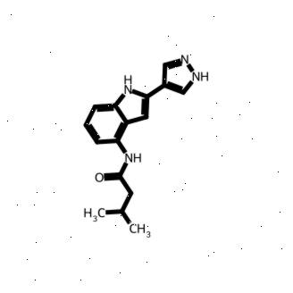 CC(C)CC(=O)Nc1cccc2[nH]c(-c3cn[nH]c3)cc12